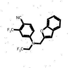 N#Cc1ccc(N(Cc2cc3ccccc3o2)CC(F)(F)F)cc1C(F)(F)F